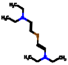 CCN(C=CSC=CN(CC)CC)CC